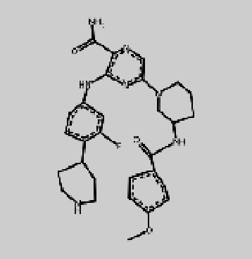 COc1ccc(C(=O)NC2CCCN(c3cnc(C(N)=O)c(Nc4ccc(C5CCNCC5)c(F)c4)n3)C2)cc1